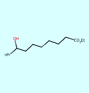 CCCC(O)CCCCCCC(=O)OCC